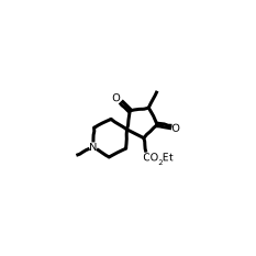 CCOC(=O)C1C(=O)C(C)C(=O)C12CCN(C)CC2